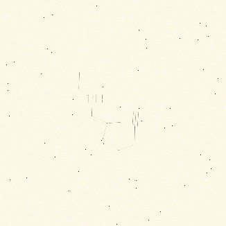 C#CC(C)/C=C\C(C)=C(/C)BCC